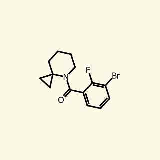 O=C(c1cccc(Br)c1F)N1CCCCC12CC2